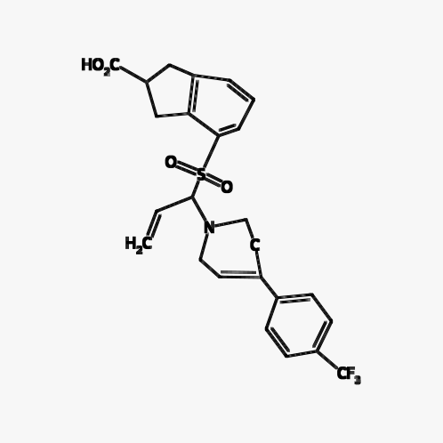 C=CC(N1CC=C(c2ccc(C(F)(F)F)cc2)CC1)S(=O)(=O)c1cccc2c1CC(C(=O)O)C2